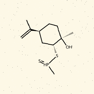 C=C(C)[C@H]1CC[C@@](C)(O)[C@H](S[PH](C)=S)C1